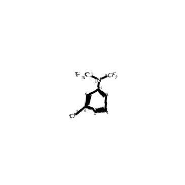 FC(F)(F)N(c1cccc(Cl)c1)C(F)(F)F